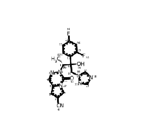 C[C@@H](n1ncc2cc(C#N)cn2c1=O)C(O)(Cn1cncn1)c1ccc(F)cc1F